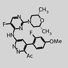 COc1ccc(-c2cc(Nc3nc(N4C[C@@H](C)O[C@@H](C)C4)ncc3F)nnc2C(C)=O)c(F)c1